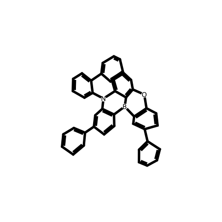 c1ccc(-c2ccc3c(c2)B2c4ccc(-c5ccccc5)cc4N(c4ccccc4-c4ccccc4)c4cccc(c42)O3)cc1